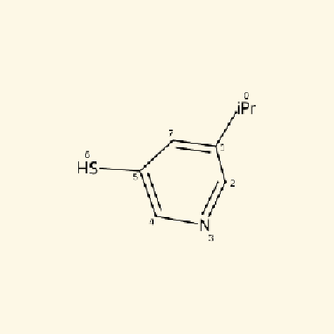 CC(C)c1cncc(S)c1